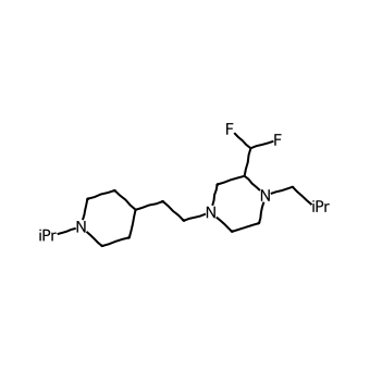 CC(C)CN1CCN(CCC2CCN(C(C)C)CC2)CC1C(F)F